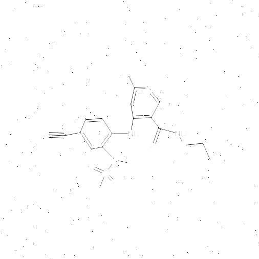 C#Cc1ccc(Nc2cc(Cl)ncc2C(=O)NOCC)c(N(C)S(C)(=O)=O)c1